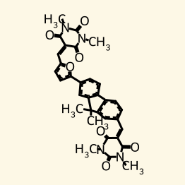 CN1C(=O)C(=Cc2ccc3c(c2)C(C)(C)c2cc(-c4ccc(C=C5C(=O)N(C)C(=O)N(C)C5=O)o4)ccc2-3)C(=O)N(C)C1=O